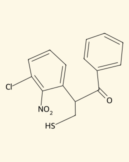 O=C(c1ccccc1)C(CS)c1cccc(Cl)c1[N+](=O)[O-]